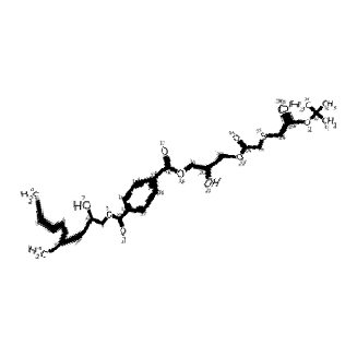 CCCC(C)CC(O)COC(=O)c1ccc(C(=O)OCC(O)COC(=O)CSCC(=O)OC(C)(C)C)cc1